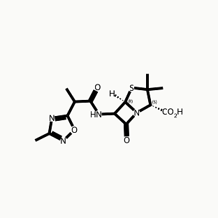 Cc1noc(C(C)C(=O)NC2C(=O)N3[C@@H]2SC(C)(C)[C@@H]3C(=O)O)n1